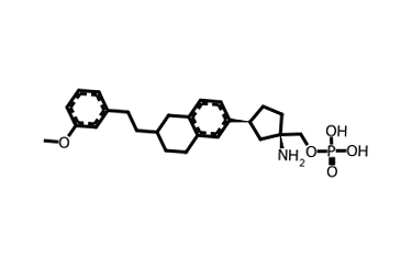 COc1cccc(CCC2CCc3cc([C@H]4CC[C@](N)(COP(=O)(O)O)C4)ccc3C2)c1